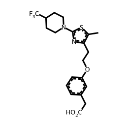 Cc1sc(N2CCC(C(F)(F)F)CC2)nc1CCOc1cccc(CC(=O)O)c1